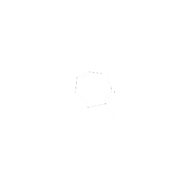 CC1=NSC=CC=C1